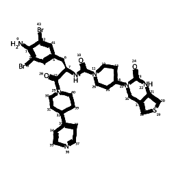 Nc1c(Br)cc(C[C@@H](NC(=O)N2CCC(N3Cc4cscc4NC3=O)CC2)C(=O)N2CCC(c3ccncc3)CC2)cc1Br